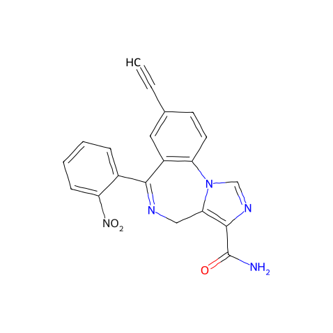 C#Cc1ccc2c(c1)C(c1ccccc1[N+](=O)[O-])=NCc1c(C(N)=O)ncn1-2